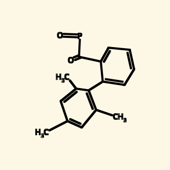 Cc1cc(C)c(-c2ccccc2C(=O)P=O)c(C)c1